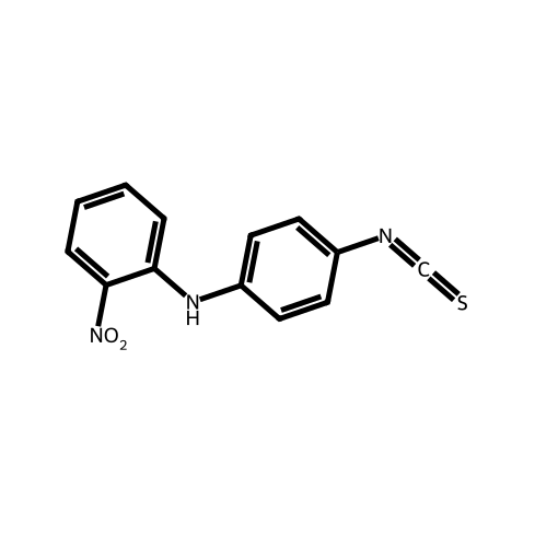 O=[N+]([O-])c1ccccc1Nc1ccc(N=C=S)cc1